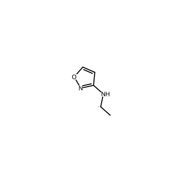 C[CH]Nc1ccon1